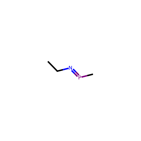 CC/N=P/C